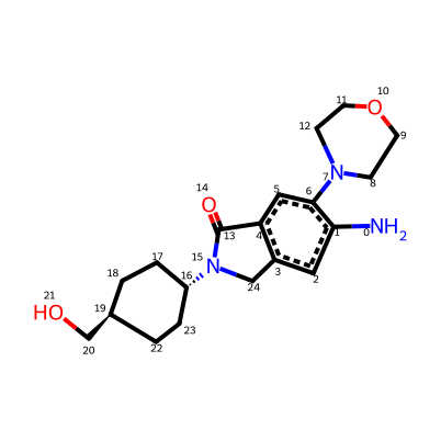 Nc1cc2c(cc1N1CCOCC1)C(=O)N([C@H]1CC[C@H](CO)CC1)C2